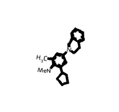 CNc1c(C)cc(N2CCc3ccccc3C2)cc1C1CCCC1